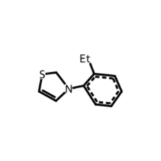 CCc1ccccc1N1C=CSC1